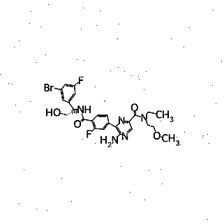 CCN(CCOC)C(=O)c1cnc(N)c(-c2ccc(C(=O)N[C@H](CO)c3cc(F)cc(Br)c3)c(F)c2)n1